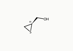 OC[C@@H]1CS1